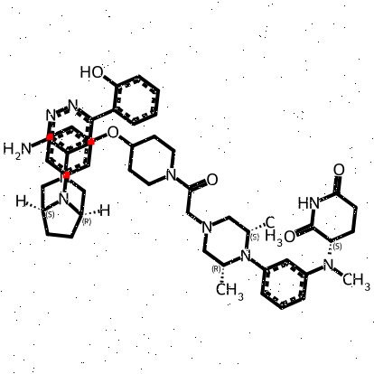 C[C@@H]1CN(CC(=O)N2CCC(Oc3cccc(N4[C@@H]5CC[C@H]4CN(c4cc(-c6ccccc6O)nnc4N)C5)c3)CC2)C[C@H](C)N1c1cccc(N(C)[C@H]2CCC(=O)NC2=O)c1